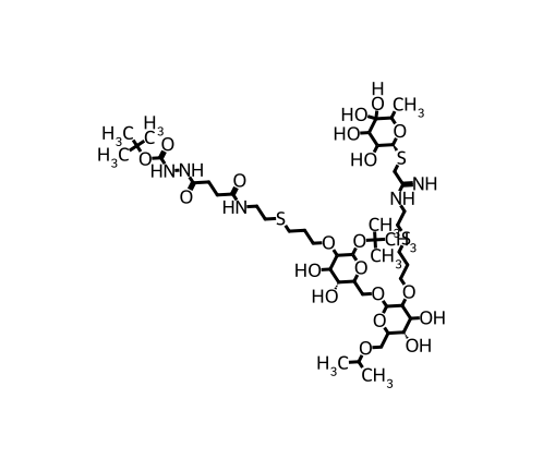 CC(C)OCC1OC(OCC2OC(OC(C)(C)C)C(OCCCSCCNC(=O)CCC(=O)NNC(=O)OC(C)(C)C)C(O)[C@H]2O)C(OCCCSCCNC(=N)CS[C@@H]2OC(C)C(O)(O)C(O)C2O)C(O)[C@@H]1O